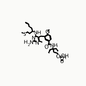 CCCCC(CCSC)Nc1nc(N)nc(C)c1Cc1cc(C(=O)NC(CC)(CC)CCO[PH](=O)O)ccc1OC